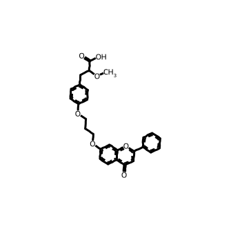 COC(Cc1ccc(OCCCOc2ccc3c(=O)cc(-c4ccccc4)oc3c2)cc1)C(=O)O